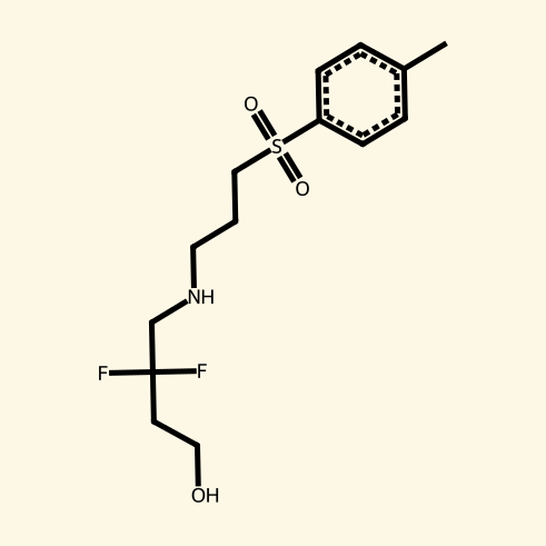 Cc1ccc(S(=O)(=O)CCCNCC(F)(F)CCO)cc1